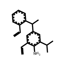 C=Cc1ccccc1C(C)c1cc(C=C)c(N)c(C(C)C)c1